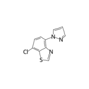 Clc1ccc(-n2cccn2)c2ncsc12